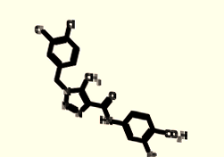 CCc1cc(NC(=O)c2nnn(Cc3ccc(Cl)c(Cl)c3)c2C)ccc1C(=O)O